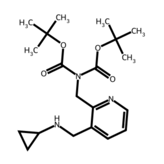 CC(C)(C)OC(=O)N(Cc1ncccc1CNC1CC1)C(=O)OC(C)(C)C